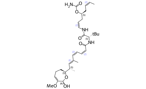 C/C=C\C[C@@H](C/C=C\NC(=O)[C@@H](NC(=O)\C=C/C=C\C(C)=C\[C@H](C)[C@@H]1CCC=C(OC)[C@H](O)O1)C(C)(C)C)OC(N)=O